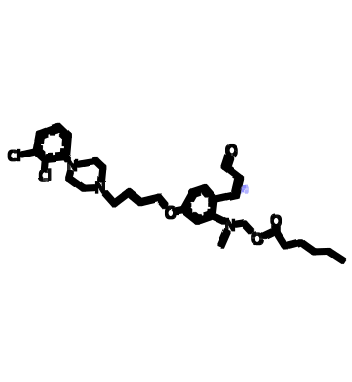 CCCCCC(=O)OCN(C)c1cc(OCCCCN2CCN(c3cccc(Cl)c3Cl)CC2)ccc1/C=C\C=O